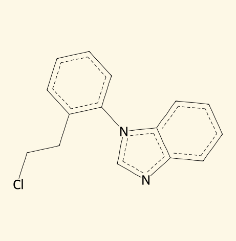 ClCCc1ccccc1-n1cnc2ccccc21